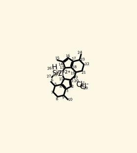 CC1=CC2=C(C(C)CCC2C)[CH]1[Zr+2]([CH]1C(C)=CC2=C1C(C)CCC2C)[SiH](C)C.[Cl-].[Cl-]